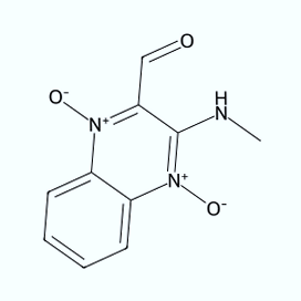 CNc1c(C=O)[n+]([O-])c2ccccc2[n+]1[O-]